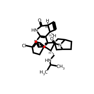 CC(C)NC[C@@H](C(=O)N1C2CCC1CN(c1ncnc3c1[C@@H]1C#C[C@@H]1C(=O)N3)C2)C1=CC=C(Cl)CC1